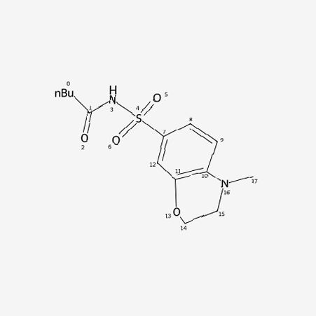 CCCCC(=O)NS(=O)(=O)c1ccc2c(c1)OCCN2C